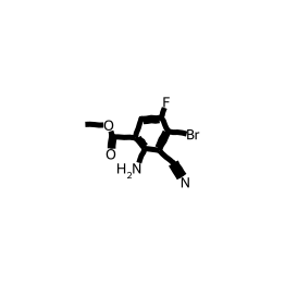 COC(=O)c1cc(F)c(Br)c(C#N)c1N